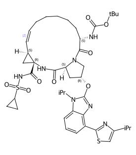 CC(C)c1csc(-c2cccc3c2nc(O[C@@H]2C[C@H]4C(=O)N[C@]5(C(=O)NS(=O)(=O)C6CC6)C[C@H]5/C=C\CCCCC[C@H](NC(=O)OC(C)(C)C)C(=O)N4C2)n3C(C)C)n1